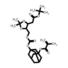 C=C(C)C(=O)OC12CC3CC(CC(OC(=O)OCC4OC(C)(C)OC4CC(=O)OC(C)(C)C)(C3)C1)C2